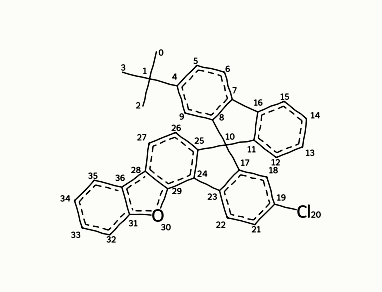 CC(C)(C)c1ccc2c(c1)C1(c3ccccc3-2)c2cc(Cl)ccc2-c2c1ccc1c2oc2ccccc21